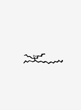 CCCCCCCCCCCCC(CCCCC)C(P)(CCCCC)CCCCC